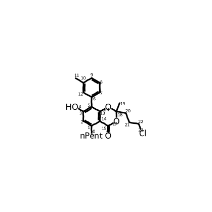 CCCCCc1cc(O)c(-c2cccc(C)c2)c2c1C(=O)OC(C)(CCCCl)O2